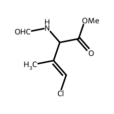 COC(=O)C(NC=O)C(C)=CCl